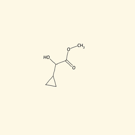 COC(=O)[C](O)C1CC1